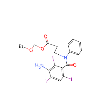 CCOCOC(=O)CCN(C(=O)c1c(I)cc(I)c(N)c1I)c1ccccc1